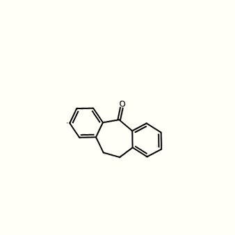 O=C1c2cc[c]cc2CCc2ccccc21